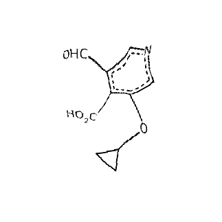 O=Cc1cncc(OC2CC2)c1C(=O)O